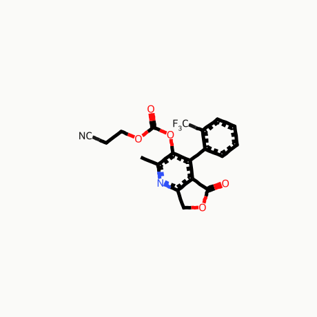 Cc1nc2c(c(-c3ccccc3C(F)(F)F)c1OC(=O)OCCC#N)C(=O)OC2